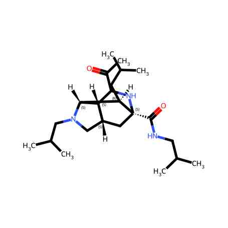 CC(=O)C1N[C@@]2(C(=O)NCC(C)C)C[C@@H]3CN(CC(C)C)[C@@H]([C@H]13)[C@H]2CC(C)C